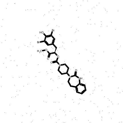 COC(=O)[C@@H](Cc1cc(Br)c(O)c(Br)c1)OC(=O)N1CCC(N2CCc3ccccc3NC2=O)CC1